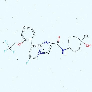 CC1(O)CCC(NC(=O)c2cn3cc(F)cc(-c4ccccc4OCC(F)(F)F)c3n2)CC1